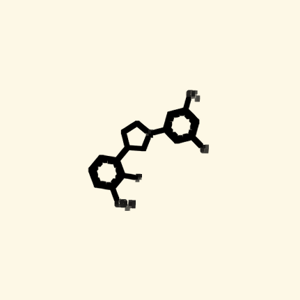 O=C(O)c1cccc(C2CCN(c3cc(Cl)cc(C(F)(F)F)c3)C2)c1F